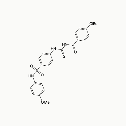 COc1ccc(NS(=O)(=O)c2ccc(NC(=S)NC(=O)c3ccc(OCC(C)C)cc3)cc2)cc1